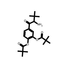 CC(C)(C)C(=O)Oc1ccc(C(=O)C(N)C(C)(C)C)cc1OC(=O)C(C)(C)C